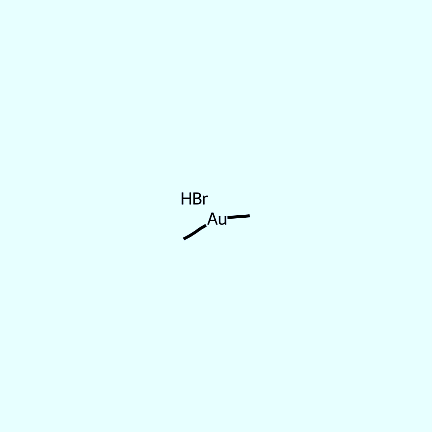 Br.[CH3][Au][CH3]